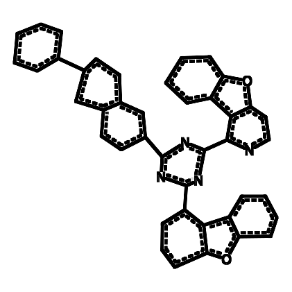 c1ccc(-c2ccc3cc(-c4nc(-c5cccc6oc7ccccc7c56)nc(-c5nccc6oc7ccccc7c56)n4)ccc3c2)cc1